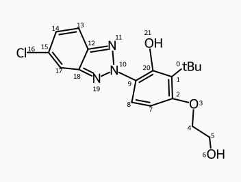 CC(C)(C)c1c(OCCO)ccc(-n2nc3ccc(Cl)cc3n2)c1O